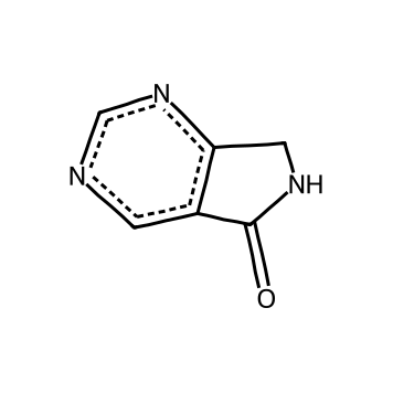 O=C1NCc2ncncc21